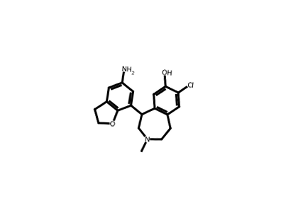 CN1CCc2cc(Cl)c(O)cc2C(c2cc(N)cc3c2OCC3)C1